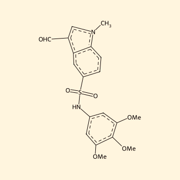 COc1cc(NS(=O)(=O)c2ccc3c(c2)c(C=O)cn3C)cc(OC)c1OC